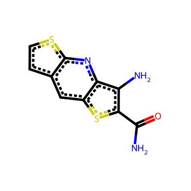 NC(=O)c1sc2cc3ccsc3nc2c1N